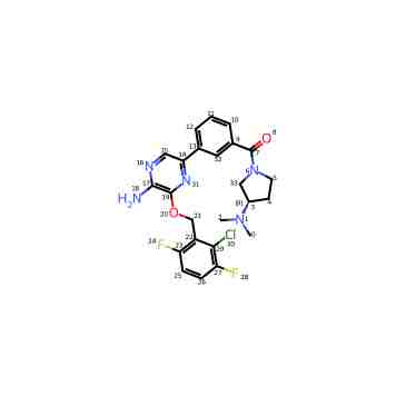 CN(C)[C@@H]1CCN(C(=O)c2cccc(-c3cnc(N)c(OCc4c(F)ccc(F)c4Cl)n3)c2)C1